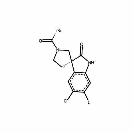 CC[C@@H](C)C(=O)N1CC[C@]2(C1)C(=O)Nc1cc(Cl)c(Cl)cc12